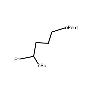 [CH2]CC(CCCC)CCCCCCCC